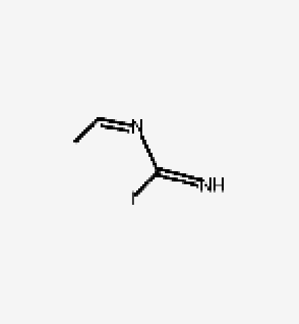 C/C=N\C(=N)I